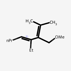 CCC/C=C(\CC)C(COC)=C(C)C